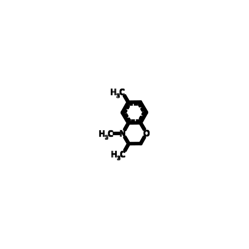 Cc1ccc2c(c1)N(C)C(C)CO2